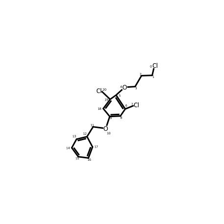 ClCCCOc1c(Cl)cc(OCc2ccccc2)cc1Cl